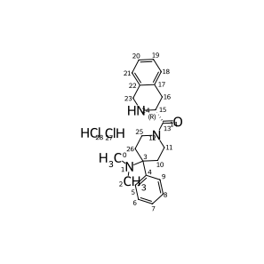 CN(C)C1(c2ccccc2)CCN(C(=O)[C@H]2Cc3ccccc3CN2)CC1.Cl.Cl